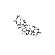 CCS(=O)(=O)N(C(=O)c1ccc2nc(C)n(Cc3ccc(Cl)cc3Cl)c2c1)c1ccccc1